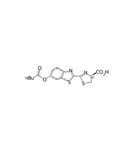 CCCCC(=O)Oc1ccc2nc(C3=N[C@@H](C(=O)O)CS3)sc2c1